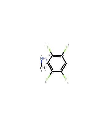 CN.Fc1cc(F)c(F)cc1F